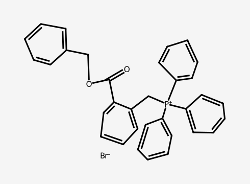 O=C(OCc1ccccc1)c1ccccc1C[P+](c1ccccc1)(c1ccccc1)c1ccccc1.[Br-]